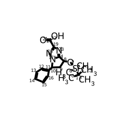 CC(C)(C)[Si](C)(C)OC1CC(c2ccccc2)n2nc(C(=O)O)nc21